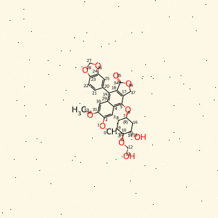 COc1cc2c(O[C@@H]3CC[C@H](OCO)[C@@H](O)C3)c3c(c(-c4ccc5c(c4)OCO5)c2cc1OC)C(=O)OC3